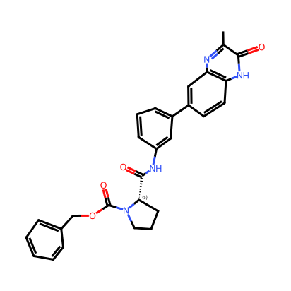 Cc1nc2cc(-c3cccc(NC(=O)[C@@H]4CCCN4C(=O)OCc4ccccc4)c3)ccc2[nH]c1=O